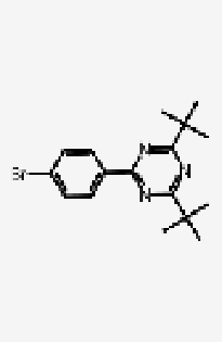 CC(C)(C)c1nc(-c2ccc(Br)cc2)nc(C(C)(C)C)n1